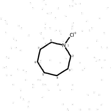 ClN1CCCCCCC1